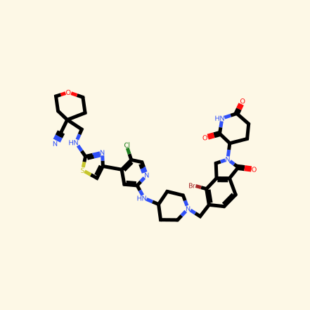 N#CC1(CNc2nc(-c3cc(NC4CCN(Cc5ccc6c(c5Br)CN(C5CCC(=O)NC5=O)C6=O)CC4)ncc3Cl)cs2)CCOCC1